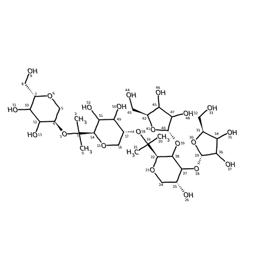 CC(C)(O[C@@H]1CO[C@@H](CO)C(O)C1O)[C@@H]1OC[C@@H](OC(C)(C)[C@@H]2OC[C@@H](O)C(O[C@@H]3O[C@@H](CO)C(O)C3O)C2O[C@@H]2O[C@@H](CO)C(O)C2O)C(O)C1O